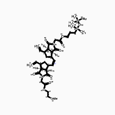 C=CC1CC(/C=C\C2CC(C=C)[C@@H]3C(=O)N(CC(=O)OCCOC)C(=O)[C@H]23)[C@@H]2C(=O)N(CC(=O)OCCC[Si](C)(C)O[Si](C)(C)CCCC)C(=O)[C@H]12